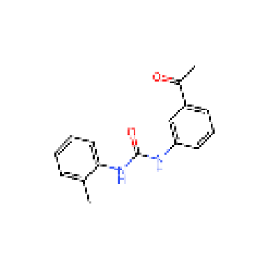 CC(=O)c1cccc(NC(=O)Nc2ccccc2C)c1